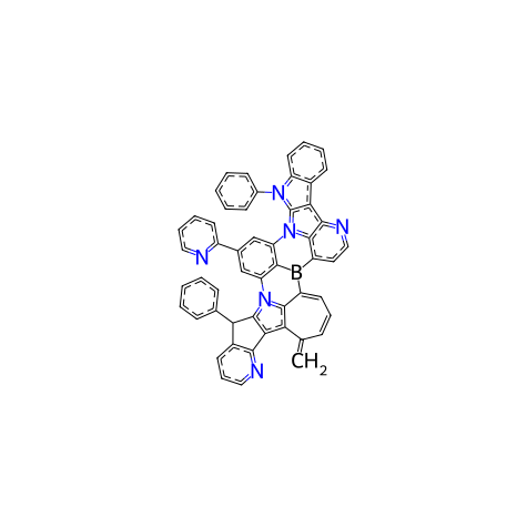 C=C1C=CC=C2B3c4c(cc(-c5ccccn5)cc4-n4c5c3ccnc5c3c5ccccc5n(-c5ccccc5)c34)-n3c2c1c1c3C(c2ccccc2)c2cccnc2-1